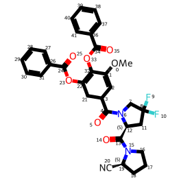 COC1=CC(C(=O)N2CC(F)(F)C[C@H]2C(=O)N2CCC[C@H]2C#N)CC(OC(=O)c2ccccc2)=C1OC(=O)c1ccccc1